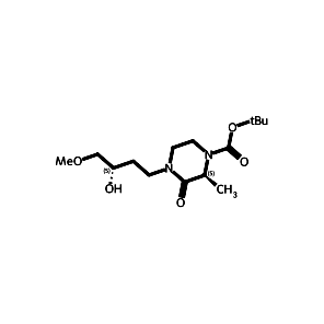 COC[C@@H](O)CCN1CCN(C(=O)OC(C)(C)C)[C@@H](C)C1=O